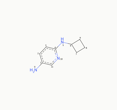 Nc1ccc(NC2CCC2)nc1